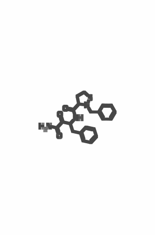 NC(=O)C(=O)C(Cc1ccccc1)NC(=O)C1CCSN1Cc1ccccc1